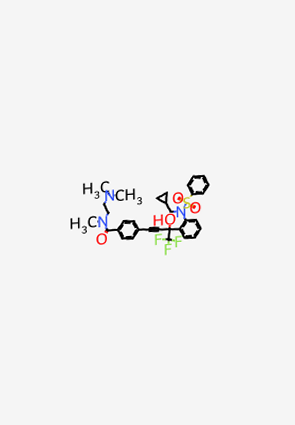 CN(C)CCN(C)C(=O)c1ccc(C#CC(O)(c2ccccc2N(CC2CC2)S(=O)(=O)c2ccccc2)C(F)(F)F)cc1